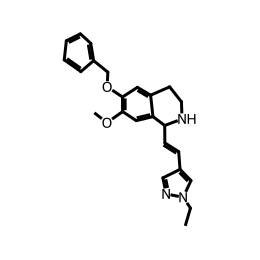 CCn1cc(/C=C/C2NCCc3cc(OCc4ccccc4)c(OC)cc32)cn1